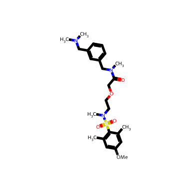 COc1cc(C)c(S(=O)(=O)N(C)CCOCC(=O)N(C)Cc2cccc(CN(C)C)c2)c(C)c1